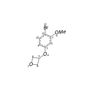 COc1cc(OC2COC2)ccc1Br